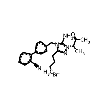 CCCCc1n[n+](C(C)C(C)=O)c(N)n1Cc1ccc(-c2ccccc2C#N)cc1.[Br-]